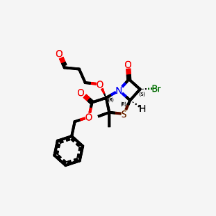 CC1(C)S[C@@H]2[C@@H](Br)C(=O)N2[C@@]1(OCCC=O)C(=O)OCc1ccccc1